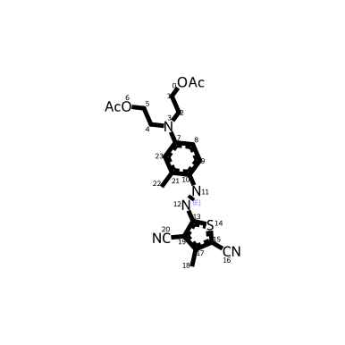 CC(=O)OCCN(CCOC(C)=O)c1ccc(/N=N/c2sc(C#N)c(C)c2C#N)c(C)c1